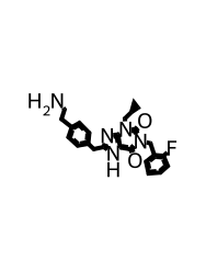 NCCc1ccc(Cc2nc3c([nH]2)c(=O)n(Cc2ccccc2F)c(=O)n3CC2CC2)cc1